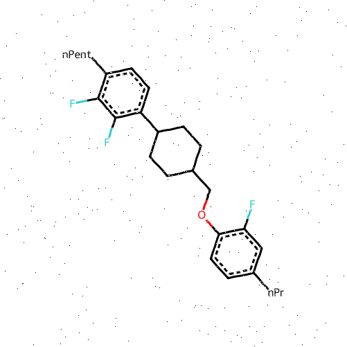 CCCCCc1ccc(C2CCC(COc3ccc(CCC)cc3F)CC2)c(F)c1F